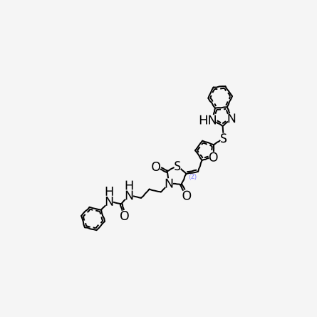 O=C(NCCCN1C(=O)S/C(=C\c2ccc(Sc3nc4ccccc4[nH]3)o2)C1=O)Nc1ccccc1